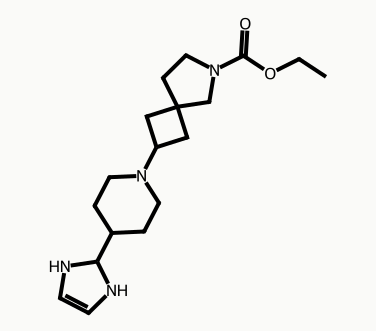 CCOC(=O)N1CCC2(CC(N3CCC(C4NC=CN4)CC3)C2)C1